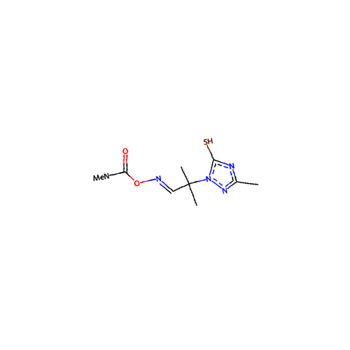 CNC(=O)ON=CC(C)(C)n1nc(C)nc1S